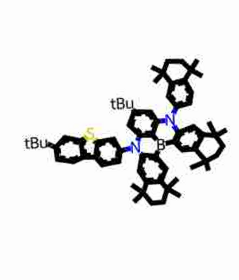 CC(C)(C)c1cc2c3c(c1)N(c1ccc4c(c1)sc1cc(C(C)(C)C)ccc14)c1cc4c(cc1B3c1cc3c(cc1N2c1ccc2c(c1)C(C)(C)CCC2(C)C)C(C)(C)CCC3(C)C)C(C)(C)CCC4(C)C